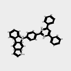 c1ccc(-c2cc(-c3ccccc3)nc(-c3ccc(-n4c5ccccc5c5cc6ccsc6cc54)cc3)n2)cc1